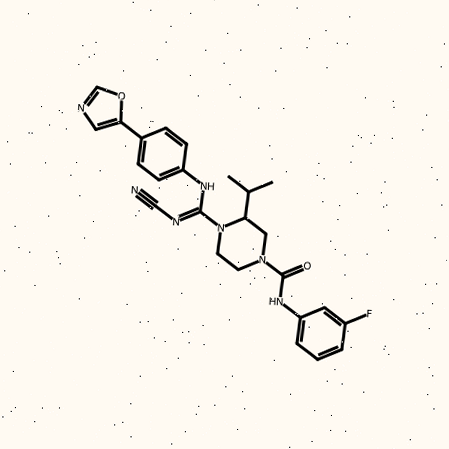 CC(C)C1CN(C(=O)Nc2cccc(F)c2)CCN1/C(=N/C#N)Nc1ccc(-c2cnco2)cc1